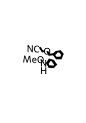 CONc1ccccc1.N#CCCOCc1ccccc1